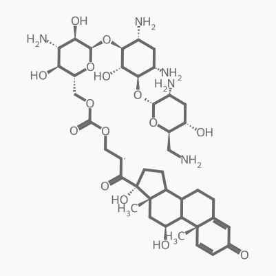 C[C@]12C=CC(=O)C=C1CCC1C2[C@@H](O)C[C@@]2(C)C1CC[C@]2(O)C(=O)[CH]COC(=O)OC[C@H]1O[C@H](O[C@@H]2[C@@H](O)[C@H](O[C@H]3O[C@H](CN)[C@@H](O)C[C@H]3N)[C@@H](N)C[C@H]2N)[C@H](O)[C@@H](N)[C@@H]1O